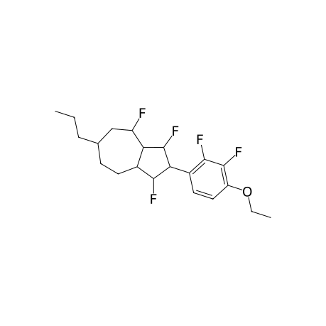 CCCC1CCC2C(F)C(c3ccc(OCC)c(F)c3F)C(F)C2C(F)C1